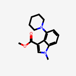 COC(=O)c1cn(C)c2cccc(N3CCCCC3)c12